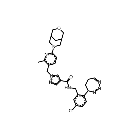 Cc1nc(N2CC3COCC(C3)C2)ccc1Cn1cc(C(=O)NCc2cc(Cl)ccc2C2CCC=NN=N2)cn1